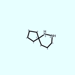 [CH]1CCC2(C1)CCCNN2